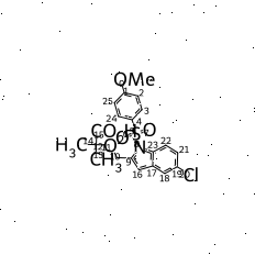 COc1ccc(S(=O)(=O)n2c(COC(C)(C)C(=O)O)cc3cc(Cl)ccc32)cc1